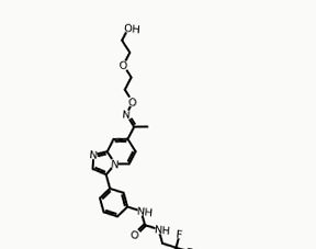 CC(=NOCCOCCO)c1ccn2c(-c3cccc(NC(=O)NCC(F)(F)F)c3)cnc2c1